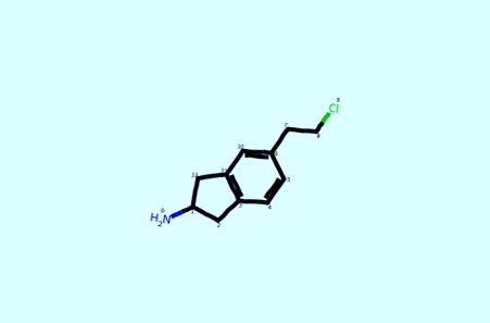 NC1Cc2ccc(CCCl)cc2C1